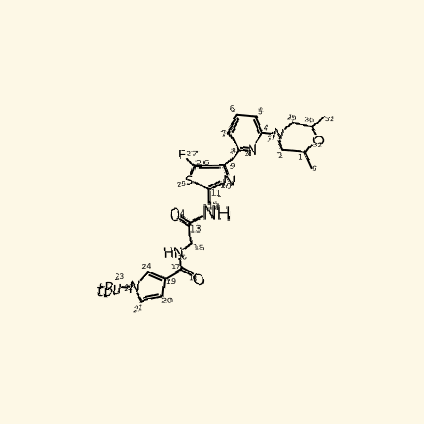 CC1CN(c2cccc(-c3nc(NC(=O)CNC(=O)c4ccn(C(C)(C)C)c4)sc3F)n2)CC(C)O1